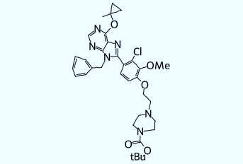 COc1c(OCCN2CCN(C(=O)OC(C)(C)C)CC2)ccc(-c2nc3c(OC4(C)CC4)ncnc3n2Cc2ccccc2)c1Cl